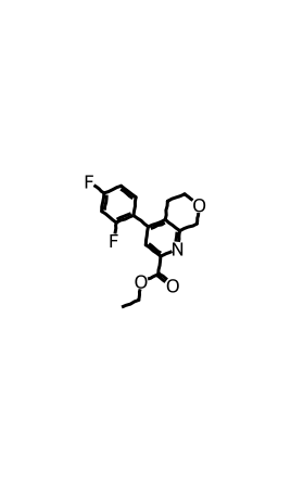 CCOC(=O)c1cc(-c2ccc(F)cc2F)c2c(n1)COCC2